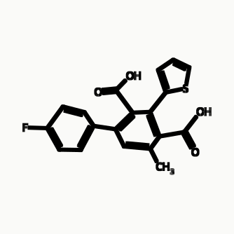 Cc1cc(-c2ccc(F)cc2)c(C(=O)O)c(-c2cccs2)c1C(=O)O